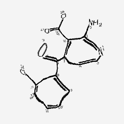 Nc1nccc(C(=O)c2ccccc2Cl)c1C(=O)Cl